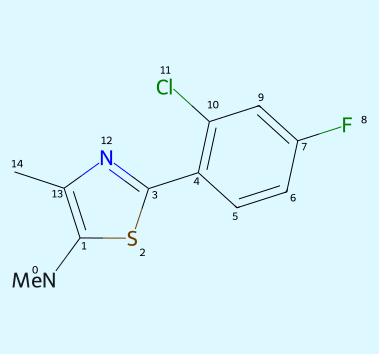 CNc1sc(-c2ccc(F)cc2Cl)nc1C